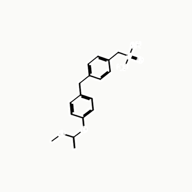 COC(C)Oc1ccc(Cc2ccc(CP(=O)(O)O)cc2)cc1